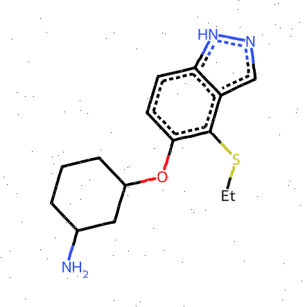 CCSc1c(OC2CCCC(N)C2)ccc2[nH]ncc12